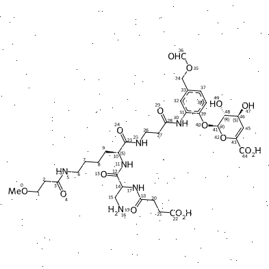 COCCC(=O)NCCCC[C@H](NC(=O)C(CN)NC(=O)CCC(=O)O)C(=O)NCCC(=O)Nc1cc(COC=O)ccc1O[C@@H]1OC(C(=O)O)=C[C@H](O)[C@H]1O